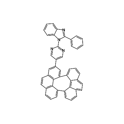 c1ccc(-c2nc3ccccc3n2-c2ncc(-c3cc4ccc5cccc6c7cccc8ccc9cccc(c(c3)c4c56)c9c87)cn2)cc1